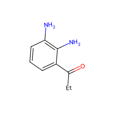 CCC(=O)c1cccc(N)c1N